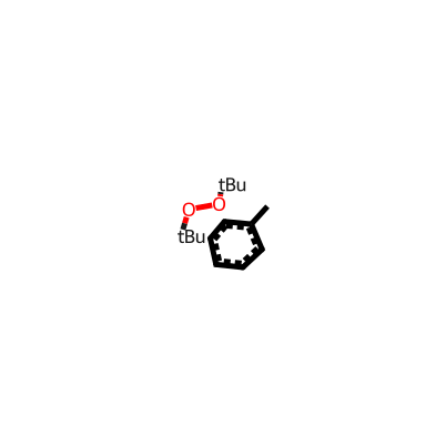 CC(C)(C)OOC(C)(C)C.Cc1ccccc1